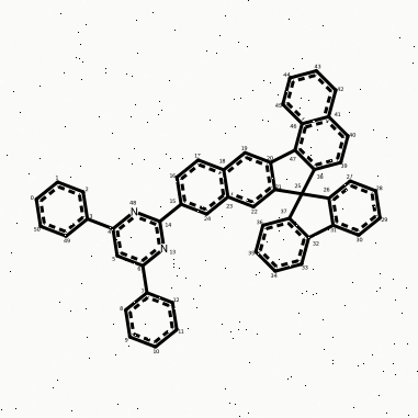 c1ccc(-c2cc(-c3ccccc3)nc(-c3ccc4cc5c(cc4c3)C3(c4ccccc4-c4ccccc43)c3ccc4ccccc4c3-5)n2)cc1